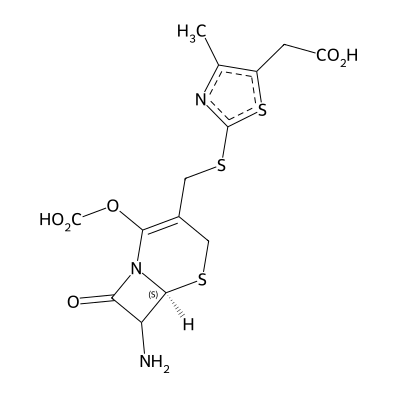 Cc1nc(SCC2=C(OC(=O)O)N3C(=O)C(N)[C@@H]3SC2)sc1CC(=O)O